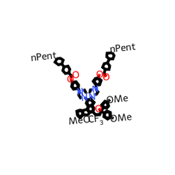 CCCCCC1CCC(C2CCC(C(=O)Oc3ccc(N4CCN(c5cc6c7c(c8c(c6cc5N5CCN(c6ccc(OC(=O)C9CCC(C%10CCC(CCCCC)CC%10)CC9)cc6)CC5)-c5ccccc5C8(OC)C(F)(F)F)C=CC(c5ccc(OC)cc5)(c5ccc(OC)cc5)O7)CC4)cc3)CC2)CC1